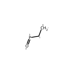 [CH2]CP=O